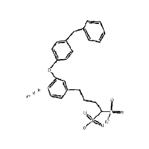 O=P([O-])([O-])C(CCCc1cccc(Oc2ccc(Cc3ccccc3)cc2)c1)S(=O)(=O)[O-].[K+].[K+].[K+]